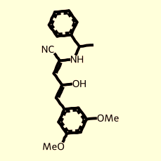 COc1cc(C=C(O)C=C(C#N)NC(C)c2ccccc2)cc(OC)c1